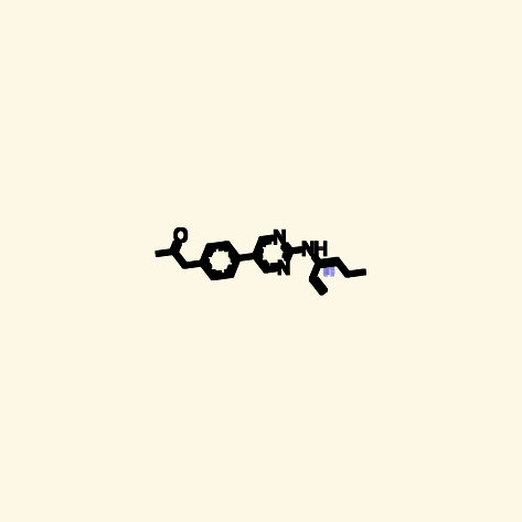 C=C/C(=C\CC)Nc1ncc(-c2ccc(CC(C)=O)cc2)cn1